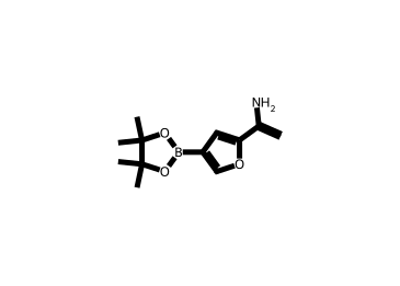 C=C(N)c1cc(B2OC(C)(C)C(C)(C)O2)co1